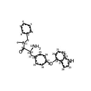 CN(Cc1ccccc1)C(=O)[C@@H](N)Cc1ccc(Oc2ccnc3[nH]ccc23)cc1